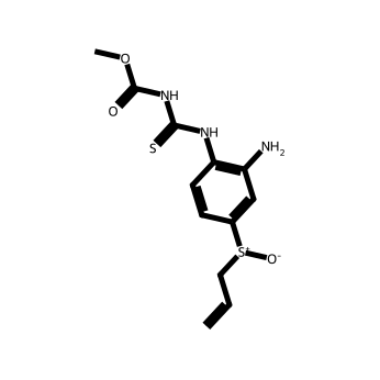 C=CC[S+]([O-])c1ccc(NC(=S)NC(=O)OC)c(N)c1